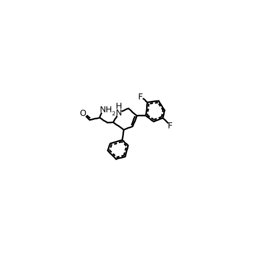 NC(C=O)CC1NCC(c2cc(F)ccc2F)=CC1c1ccccc1